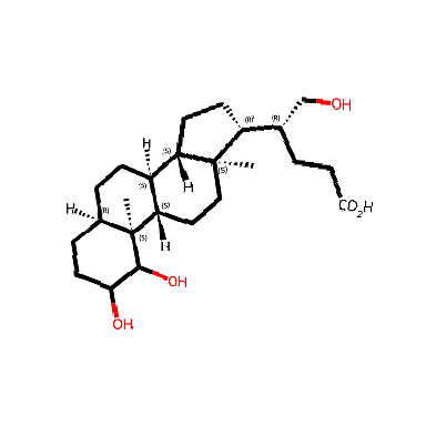 C[C@]12CC[C@H]3[C@@H](CC[C@@H]4CCC(O)C(O)[C@@]43C)[C@@H]1CC[C@@H]2[C@H](CO)CCC(=O)O